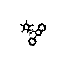 CC1=C(C)[C](C)([Zr]([F])([F])[CH]2C(c3ccccc3)=Cc3ccccc32)C(C)=C1C